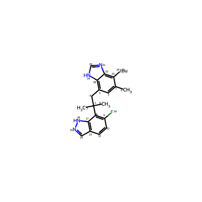 Cc1cc(CC(C)(C)c2c(F)ccc3cn[nH]c23)c2[nH]cnc2c1C(C)(C)C